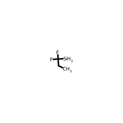 CCC(F)(F)[SiH3]